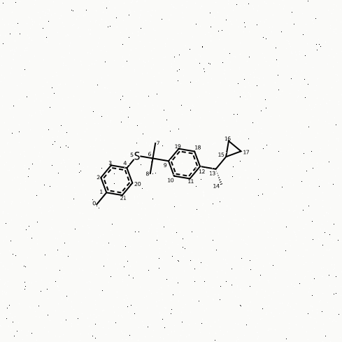 Cc1ccc(SC(C)(C)c2ccc([C@@H](C)C3CC3)cc2)cc1